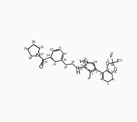 Cc1c(C2=CCCC3=C2OC(F)(F)O3)c[nH]c1NCCC1=CC=CC(C(=O)N2CCCC2)C1